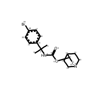 CC(C)(NC(=O)OC1CN2CCC1CC2)c1ccc(Br)cc1